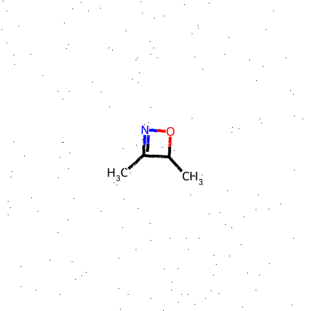 CC1=NOC1C